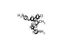 C[C@@H](CCOc1c(-c2nccc(N)n2)cnn1C)Nc1cc(Cl)ncc1-c1ncc(CN2CCN(C)CC2)cc1F